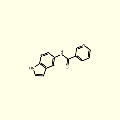 O=C(Nc1[c]c2cc[nH]c2nc1)c1cccnc1